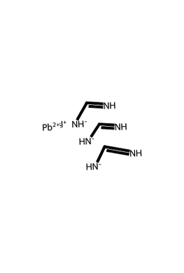 N=C[NH-].N=C[NH-].N=C[NH-].[I+].[Pb+2]